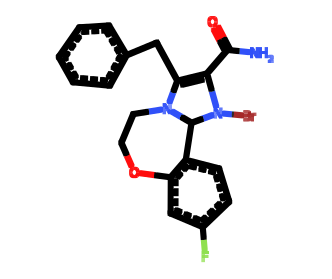 NC(=O)C1=C(Cc2ccccc2)N2CCOc3cc(F)ccc3C2N1Br